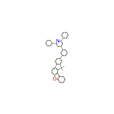 CC1(C)c2cc(-c3cccc(-c4cc(-c5ccccc5)nc(-c5ccccc5)c4)c3)ccc2-c2ccc3oc4ccccc4c3c21